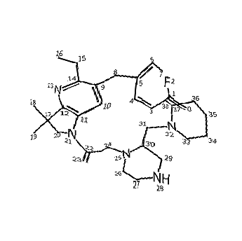 C=C(F)/C=C\C(=C/C)Cc1cc2c(nc1CC)C(C)(C)CN2C(=C)CN1CCNCC1CN1CCCCC1C